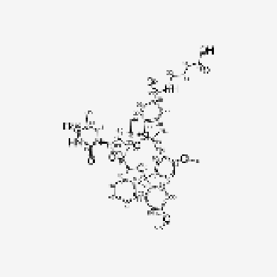 COc1ccc(C(OC[C@H]2O[C@@H](n3cc(C)c(=O)[nH]c3=O)CC2O[Si](c2ccc(C(=O)NCCCC(=O)O)cc2)(C(C)C)C(C)C)(c2ccccc2)c2ccc(OC)cc2)cc1